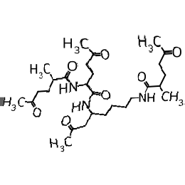 CC(=O)CCC(C)C(=O)NCCCCC(CC(C)=O)NC(=O)C(CCC(C)=O)NC(=O)C(C)CCC(C)=O